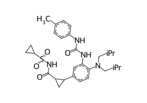 Cc1ccc(NC(=O)Nc2cc(C3CC3C(=O)NS(=O)(=O)C3CC3)ccc2N(CC(C)C)CC(C)C)cc1